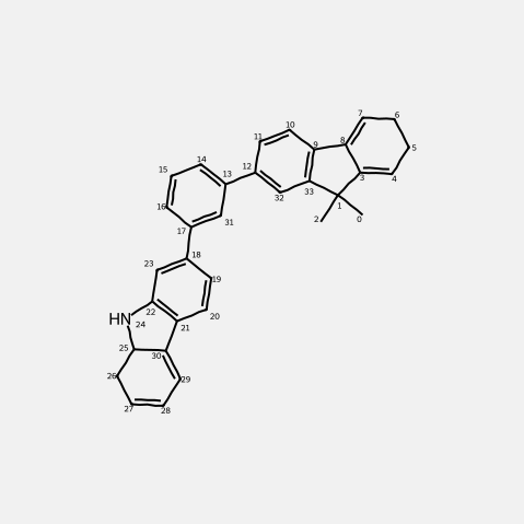 CC1(C)C2=CCCC=C2c2ccc(-c3cccc(-c4ccc5c(c4)NC4CC=CC=C54)c3)cc21